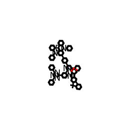 CC1(C)c2ccccc2-c2cc3c4ccccc4n(-c4ccc(-c5nc(-c6ccccc6)nc(-c6ccccc6)n5)cc4-c4nc(-c5ccccc5)cc(-c5ccc(-c6cc7c8c(c6)N(c6ccccc6)c6ccccc6B8c6ccccc6N7c6ccccc6)cc5)n4)c3cc21